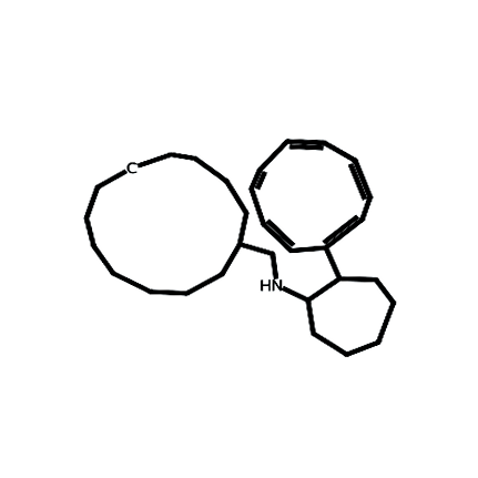 c1ccccc(C2CCCCCC2NCC2CCCCCCCCCCCC2)cccc1